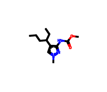 CCCC(CC)c1cn(C)nc1NC(=O)OC